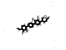 CCc1ccc(-c2ccc(-c3ccc(C4CCC(C)OC4)c(F)c3F)cc2)c(F)c1F